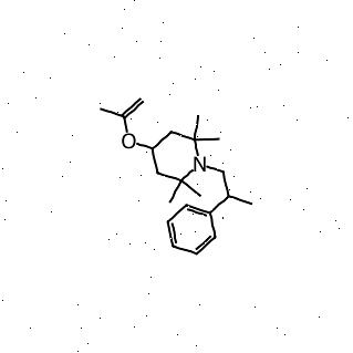 C=C(C)OC1CC(C)(C)N(CC(C)c2ccccc2)C(C)(C)C1